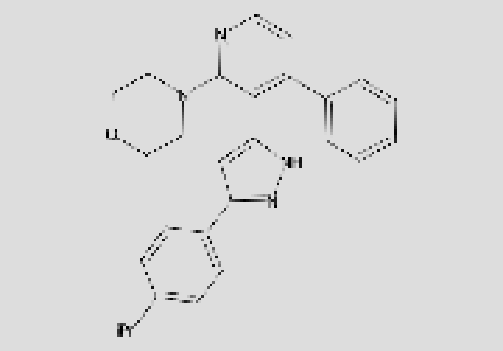 CC(C)c1ccc(-c2cc(-c3c(-c4ccccc4)ccnc3N3CCOCC3)[nH]n2)cc1